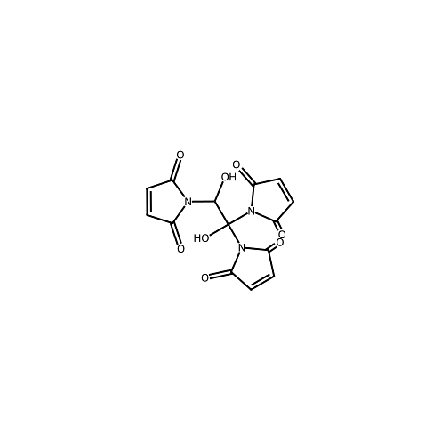 O=C1C=CC(=O)N1C(O)C(O)(N1C(=O)C=CC1=O)N1C(=O)C=CC1=O